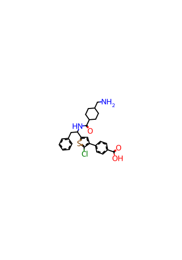 NCC1CCC(C(=O)NC(Cc2ccccc2)c2cc(-c3ccc(C(=O)O)cc3)c(Cl)s2)CC1